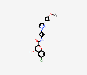 O=C(NC12CC(n3ccc([C@H]4C[C@@H](OC(F)(F)F)C4)n3)(C1)C2)[C@H]1C[C@@H](O)c2cc(Cl)ccc2O1